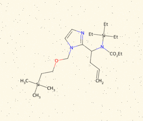 C=CCC(c1nccn1COCC[Si](C)(C)C)N(C(=O)OCC)[Si](CC)(CC)CC